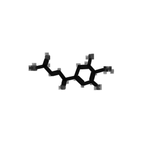 Nc1c(Cl)cc(C(=O)/C=C/C(=O)O)cc1Cl